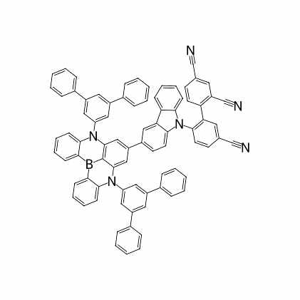 N#Cc1ccc(-c2cc(C#N)ccc2-n2c3ccccc3c3cc(-c4cc5c6c(c4)N(c4cc(-c7ccccc7)cc(-c7ccccc7)c4)c4ccccc4B6c4ccccc4N5c4cc(-c5ccccc5)cc(-c5ccccc5)c4)ccc32)c(C#N)c1